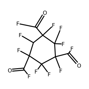 O=C(F)C1(F)C(F)C(F)(C(=O)F)C(F)(F)C(F)(C(=O)F)C1(F)F